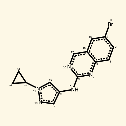 Brc1ccc2nc(Nc3cnn(C4CC4)c3)ncc2c1